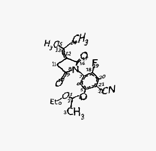 CCOC(C)Oc1cc(N2C(=O)CC(=C(C)C)C2=O)c(F)cc1C#N